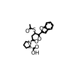 CC(=O)SC(CC(=O)N1CCC[C@H]1C(=O)O)C(=O)c1cc2ccccc2o1